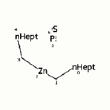 CCCCCCC[CH2][Zn][CH2]CCCCCCC.[P].[S]